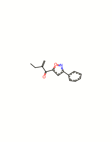 C=C(CC)C(=O)c1cc(-c2ccccc2)no1